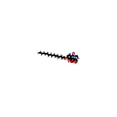 CCCCCCCCCCCCCCCCOc1ccc(C(=O)N(CC)[C@@](CC)(CC(=O)O)C(=O)O)cc1